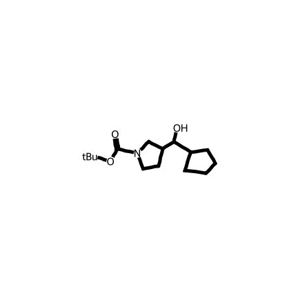 CC(C)(C)OC(=O)N1CCC(C(O)C2CCCC2)C1